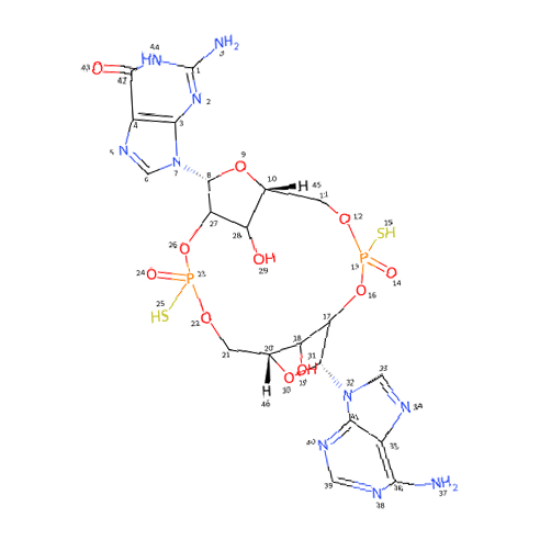 Nc1nc2c(ncn2[C@@H]2O[C@@H]3COP(=O)(S)OC4C(O)[C@@H](COP(=O)(S)OC2C3O)O[C@H]4n2cnc3c(N)ncnc32)c(=O)[nH]1